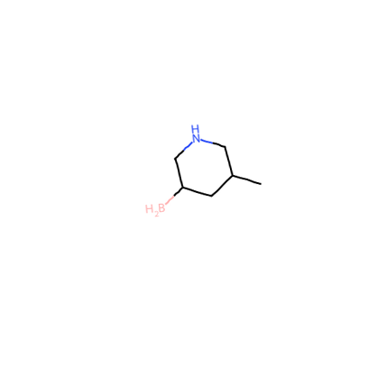 BC1CNCC(C)C1